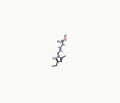 CCc1cc(C)n(CN=NC[SiH2]OC)c1C